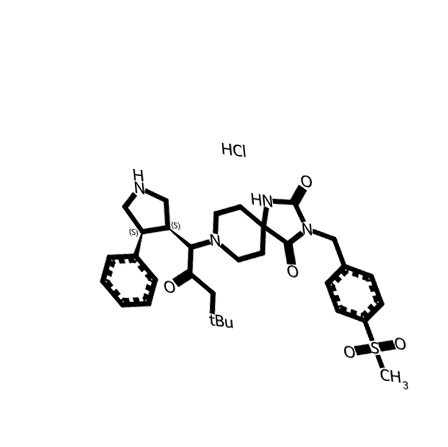 CC(C)(C)CC(=O)C([C@@H]1CNC[C@@H]1c1ccccc1)N1CCC2(CC1)NC(=O)N(Cc1ccc(S(C)(=O)=O)cc1)C2=O.Cl